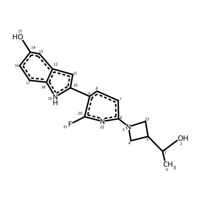 CC(O)C1CN(c2ccc(-c3cc4cc(O)ccc4[nH]3)c(F)n2)C1